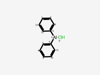 Cl.c1cc[c]([Al][c]2ccccc2)cc1